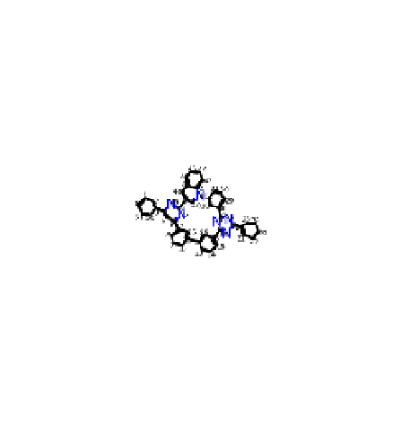 c1ccc(-c2cc(-c3cccc(-c4cccc(-c5nc(-c6ccccc6)nc(-c6ccccc6)n5)c4)c3)nc(-c3cnc4ccccc4c3)n2)cc1